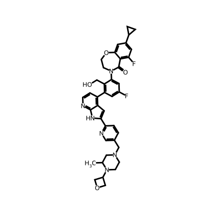 CC1CN(Cc2ccc(-c3cc4c(-c5cc(F)cc(N6CCOc7cc(C8CC8)cc(F)c7C6=O)c5CO)ccnc4[nH]3)nc2)CCN1C1COC1